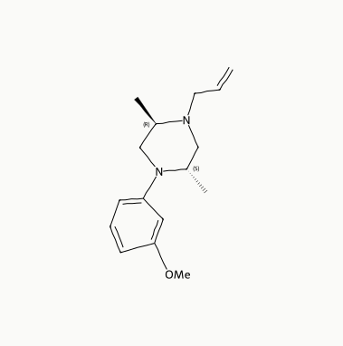 C=CCN1C[C@H](C)N(c2cccc(OC)c2)C[C@H]1C